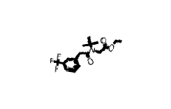 CCOC(=O)CN(C(=O)Cc1cccc(C(F)(F)F)c1)C(C)(C)C